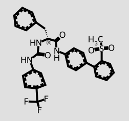 CS(=O)(=O)c1ccccc1-c1ccc(NC(=O)[C@@H](Cc2ccccc2)NC(=O)Nc2ccc(C(F)(F)F)cc2)cc1